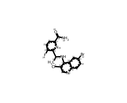 CC(Nc1c(Cl)cnc2ccc(Br)cc12)c1nc(C(N)=O)ccc1F